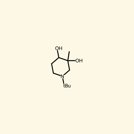 CC1(O)CN(C(C)(C)C)CCC1O